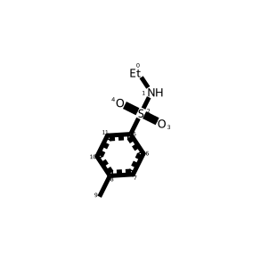 [CH2]CNS(=O)(=O)c1ccc(C)cc1